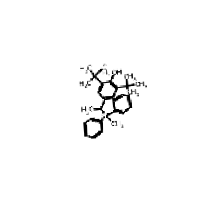 CC(c1cc(C(C)(C)C)c(O)c(C(C)(C)C)c1)[Si](C)(c1ccccc1)c1ccccc1